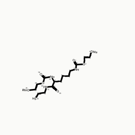 COCCOC(=O)NCCCCC(NC(=O)OCCOC)C(=O)NCCS